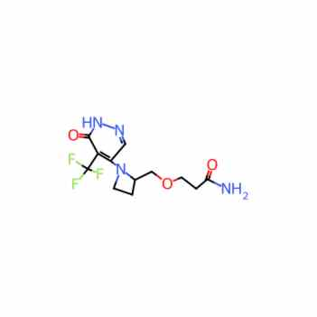 NC(=O)CCOCC1CCN1c1cn[nH]c(=O)c1C(F)(F)F